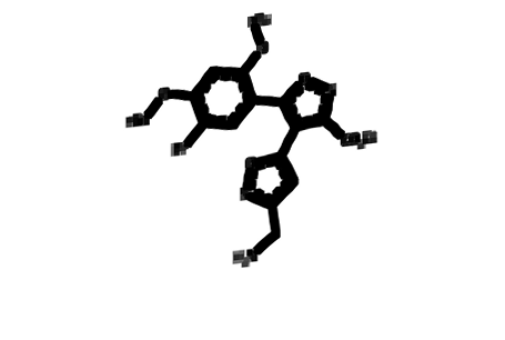 CCCCOc1cc(OCCCC)c(C(C)C)cc1-c1onc(C(=O)OCC)c1-c1cc(CN)no1